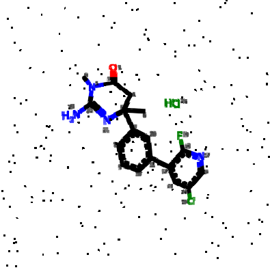 CN1C(=O)CC(C)(c2cccc(-c3cc(Cl)cnc3F)c2)N=C1N.Cl